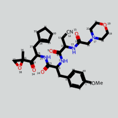 COc1ccc(CC(NC(=O)C(CC#N)NC(=O)CN2CCOCC2)C(=O)NC(CC2=CCCC2)C(=O)C2(C)CO2)cc1